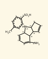 Cc1ccc(S(=O)(=O)O)cc1.NC1=CC=CC2NC3CC=CC3C12